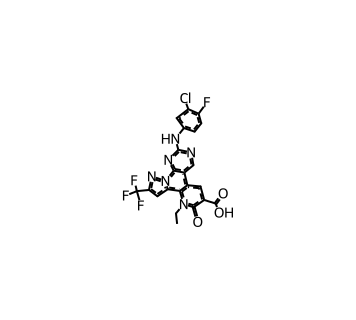 CCn1c(=O)c(C(=O)O)cc2c3cnc(Nc4ccc(F)c(Cl)c4)nc3n3nc(C(F)(F)F)cc3c21